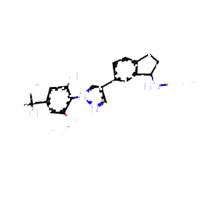 O=C(O)NC1CCc2ccc(-c3cnn(-c4c(Cl)cc(C(F)(C(F)(F)F)C(F)(F)F)cc4OC(F)(F)F)c3)cc21